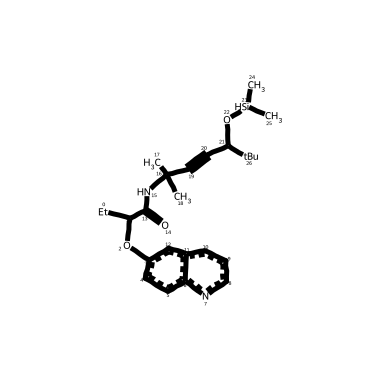 CCC(Oc1ccc2ncccc2c1)C(=O)NC(C)(C)C#CC(O[SiH](C)C)C(C)(C)C